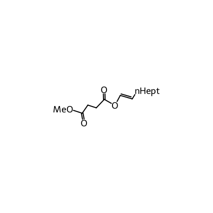 CCCCCCCC=COC(=O)CCC(=O)OC